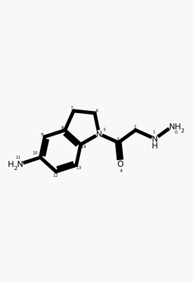 NNCC(=O)N1CCc2cc(N)ccc21